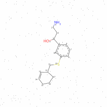 NCCC(O)c1cccc(SCC2C=CCCC2)c1